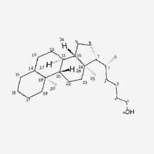 C[C@H](CCCCO)[C@H]1CC[C@H]2[C@@H]3CCC4CCCC[C@]4(C)[C@H]3CC[C@]12C